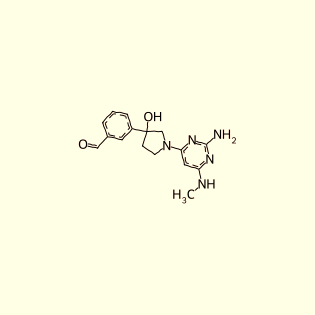 CNc1cc(N2CCC(O)(c3cccc(C=O)c3)C2)nc(N)n1